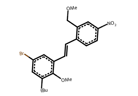 COCc1cc([N+](=O)[O-])ccc1C=Cc1cc(Br)cc(C(C)(C)C)c1OC